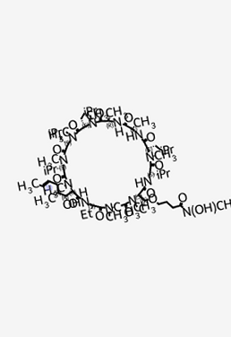 C/C=C/C[C@@H](C)[C@@H](O)[C@@H]1C(=O)N[C@@H](CC)C(=O)N(C)CC(=O)N(C)[C@@H]([C@@H](C)OCCCC(=O)N(C)O)C(=O)N[C@@H](C(C)C)C(=O)N(C)[C@@H](CC(C)C)C(=O)N[C@@H](C)C(=O)N[C@H](C)C(=O)N(C)[C@@H](CC(C)C)C(=O)N(C)[C@@H](CC(C)C)C(=O)N(C)[C@@H](C(C)C)C(=O)N1C